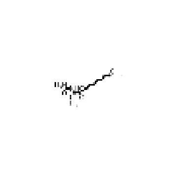 CCCCCCCCOC(=O)[C@H](C)NC(N)=O